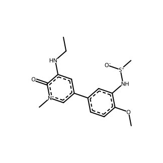 CCNc1cc(-c2ccc(OC)c(N[S+](C)[O-])c2)cn(C)c1=O